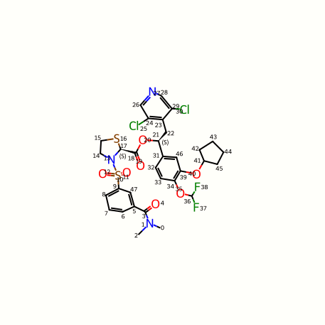 CN(C)C(=O)c1cccc(S(=O)(=O)N2CCS[C@H]2C(=O)O[C@@H](Cc2c(Cl)cncc2Cl)c2ccc(OC(F)F)c(OC3CCCC3)c2)c1